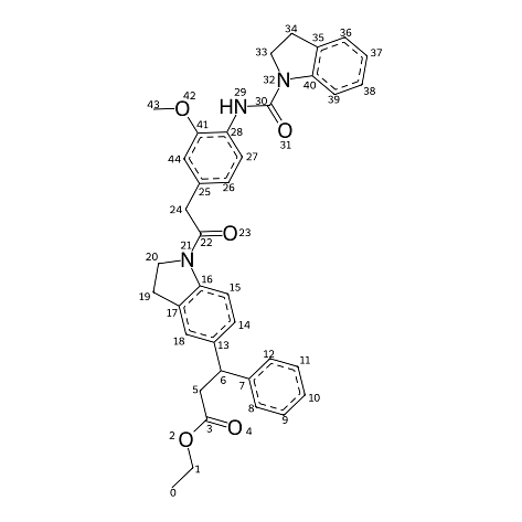 CCOC(=O)CC(c1ccccc1)c1ccc2c(c1)CCN2C(=O)Cc1ccc(NC(=O)N2CCc3ccccc32)c(OC)c1